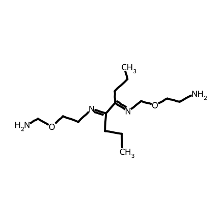 CCCC(=N\CCOCN)/C(CCC)=N/COCCN